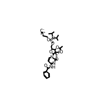 [C-]#[N+]CCOP(OCC1OC(n2ccc(NC(=O)c3ccccc3)nc2=O)C(F)(F)C1OC(C)=O)N(C(C)C)C(C)C